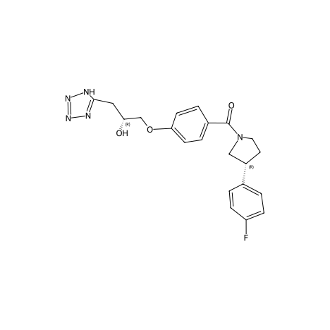 O=C(c1ccc(OC[C@H](O)Cc2nnn[nH]2)cc1)N1CC[C@H](c2ccc(F)cc2)C1